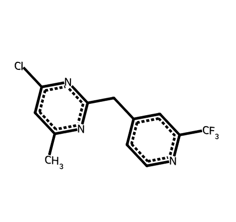 Cc1cc(Cl)nc(Cc2ccnc(C(F)(F)F)c2)n1